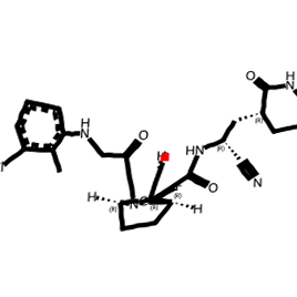 Cc1c(Cl)cccc1NCC(=O)N1[C@@H]2CC[C@H]([C@@H]1C(=O)N[C@@H](C#N)C[C@H]1CCCNC1=O)C(F)(F)C2